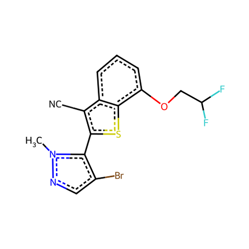 Cn1ncc(Br)c1-c1sc2c(OCC(F)F)cccc2c1C#N